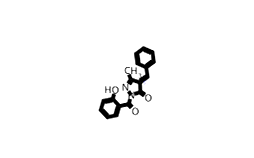 CC1=NN(C(=O)c2ccccc2O)C(=O)/C1=C/c1ccccc1